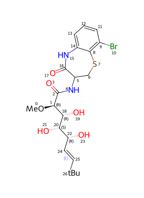 CO[C@@H](C(=O)NC1CSc2c(Br)cccc2NC1=O)[C@H](O)[C@@H](O)[C@H](O)/C=C/C(C)(C)C